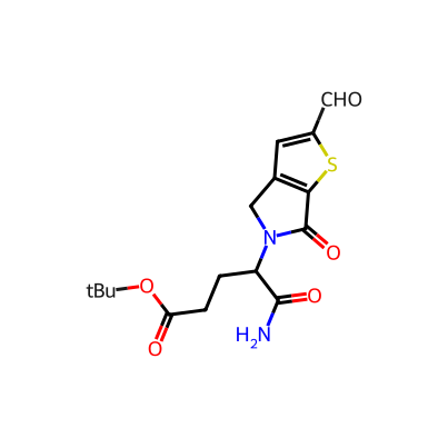 CC(C)(C)OC(=O)CCC(C(N)=O)N1Cc2cc(C=O)sc2C1=O